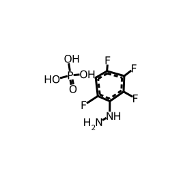 NNc1c(F)cc(F)c(F)c1F.O=P(O)(O)O